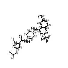 CC(C)Cc1cc(C(=O)N[C@H]2CC[C@@H](Nc3cc(C(F)(F)F)nc4ccc(Cl)cc34)CC2)n(C)n1